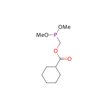 COP(COC(=O)C1CCCCC1)OC